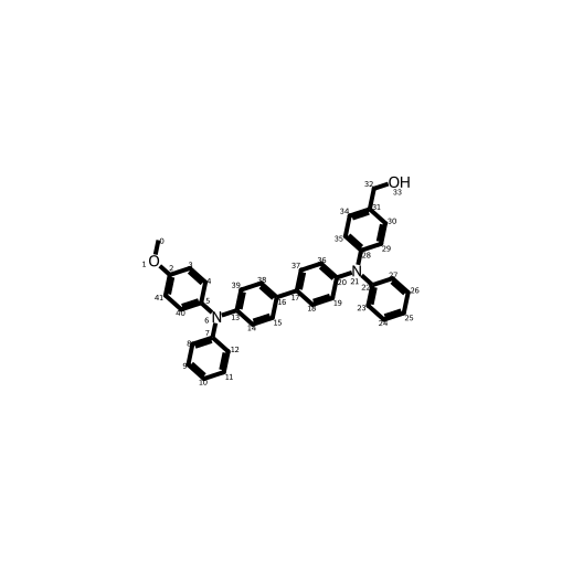 COc1ccc(N(c2ccccc2)c2ccc(-c3ccc(N(c4ccccc4)c4ccc(CO)cc4)cc3)cc2)cc1